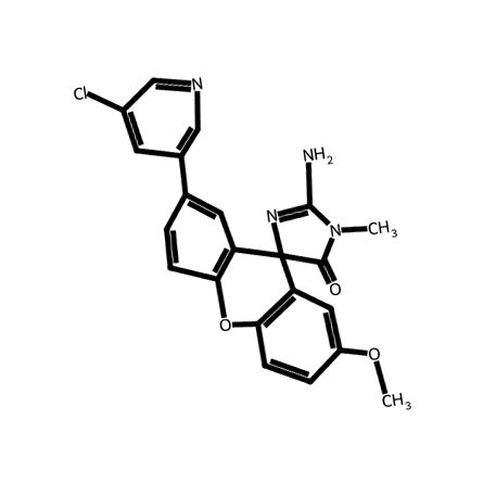 COc1ccc2c(c1)C1(N=C(N)N(C)C1=O)c1cc(-c3cncc(Cl)c3)ccc1O2